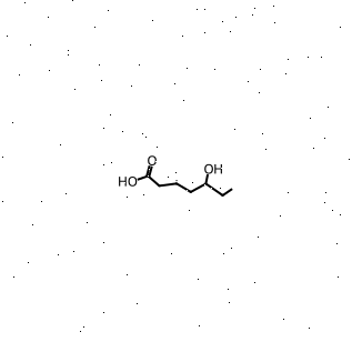 CCC(O)C[CH]CC(=O)O